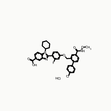 CONC(=O)c1ccc(-c2ccc(Cl)cc2)c(COc2ccc(-c3nc4cc(C(=O)O)ccc4n3C3CCCCC3)c(F)c2)c1.Cl